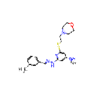 CCCNc1cc(N/N=C/c2cccc(C)c2)nc(SCCN2CCOCC2)c1